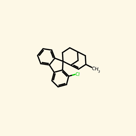 CC1C=C2CC(CCC23c2ccccc2-c2cccc(Cl)c23)C1